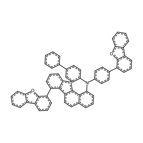 c1ccc(-c2ccc(N(c3ccc(-c4cccc5c4oc4ccccc45)cc3)c3cccc4ccc5c(sc6cccc(-c7cccc8c7oc7ccccc78)c65)c34)cc2)cc1